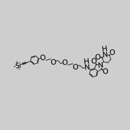 C[Si](C)(C)C#Cc1ccc(OCCOCCOCCOCCNc2cccc3c2C(=O)N(C2CCC(=O)NC2=O)C3=O)cc1